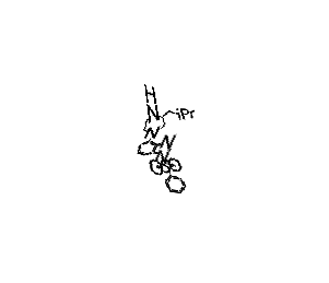 CC(C)CC1CN(c2cccc3c2ncn3S(=O)(=O)c2ccccc2)CCN1